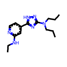 CCCN(CCC)c1n[nH]c(-c2ccnc(NCC)c2)n1